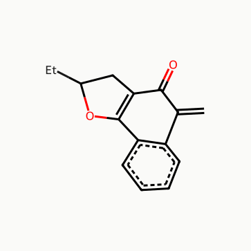 C=C1C(=O)C2=C(OC(CC)C2)c2ccccc21